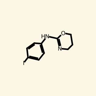 Ic1ccc(NC2=NCCCO2)cc1